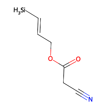 N#CCC(=O)OCC=C[SiH3]